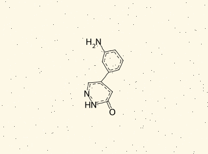 Nc1cccc(-c2cn[nH]c(=O)c2)c1